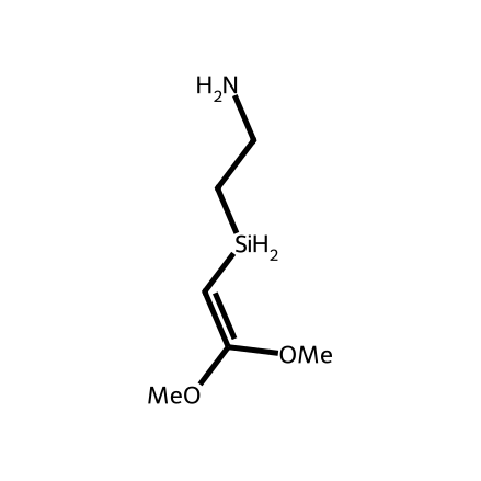 COC(=C[SiH2]CCN)OC